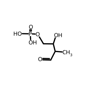 CC(C=O)C(O)COP(=O)(O)O